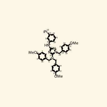 COc1ccc(CN(Cc2ccc(OC)cc2)c2nc(Nc3cccc(C(C)C)c3)nn2Cc2ccc(OC)cc2)cc1